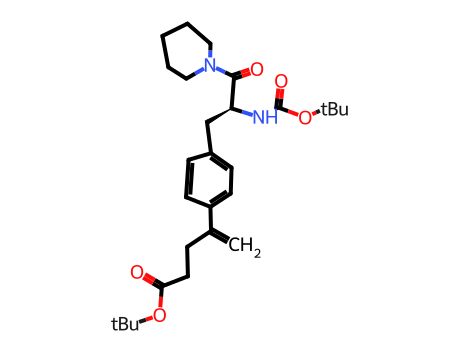 C=C(CCC(=O)OC(C)(C)C)c1ccc(C[C@H](NC(=O)OC(C)(C)C)C(=O)N2CCCCC2)cc1